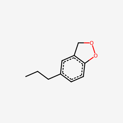 CCCc1ccc2c(c1)COO2